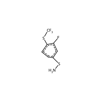 NSc1ccc(SC(F)(F)F)c(F)c1